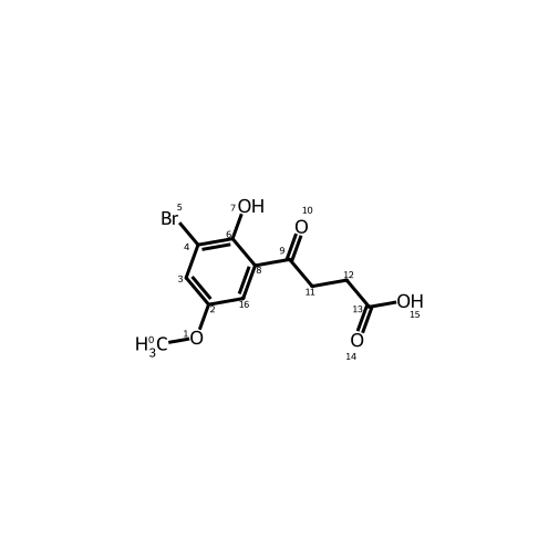 COc1cc(Br)c(O)c(C(=O)CCC(=O)O)c1